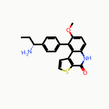 CC[C@@H](N)c1ccc(-c2c(OC)ccc3[nH]c(=O)c4sccc4c23)cc1